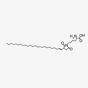 CCCCCCCCCCCCCCCCCCCCCC/C=C/C1CC(=O)N(CCCCC(N)C(=O)O)C1=O